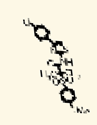 COc1ccc(S(=O)(=O)C(C)(C)C(=O)Nc2nc(-c3ccc(Cl)cc3)cs2)cc1